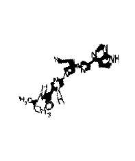 CC(C)NC(=O)C1C=NC(N2CC(CC#N)(n3cc(-c4ncnc5[nH]ccc45)cn3)C2)=CN1